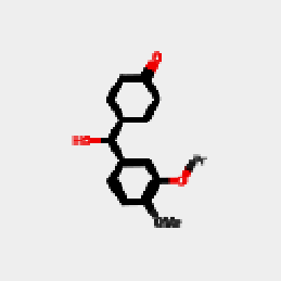 COc1ccc(C(O)C2CCC(=O)CC2)cc1OC(C)C